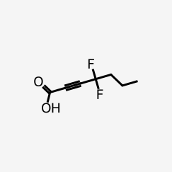 CCCC(F)(F)C#CC(=O)O